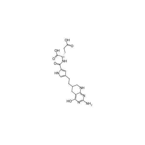 Nc1nc(O)c2c(n1)NCC(CCc1c[nH]c(C(=O)N[C@@H](CCC(=O)O)C(=O)O)c1)C2